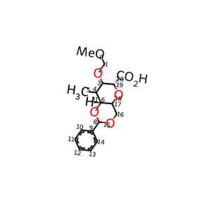 COCOC1C(C)[C@H]2OC(c3ccccc3)OCC2O[C@H]1C(=O)O